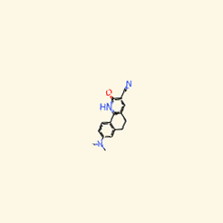 CN(C)c1ccc2c(c1)CCc1cc(C#N)c(=O)[nH]c1-2